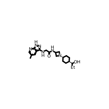 CCC(O)[C@H]1CC[C@H](N2CC(NC(=O)CNc3n[nH]c4ncc(C)cc34)C2)CC1